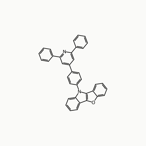 c1ccc(-c2cc(-c3ccc(-n4c5ccccc5c5oc6ccccc6c54)cc3)cc(-c3ccccc3)n2)cc1